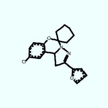 Clc1ccc2c(c1)C1CC(c3ccco3)=NN1C1(CCCCC1)O2